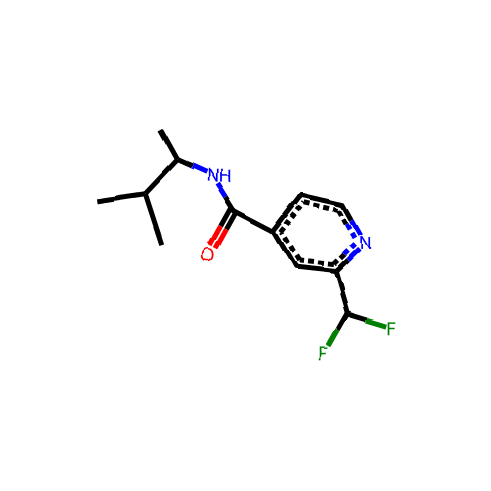 CC(C)C(C)NC(=O)c1ccnc(C(F)F)c1